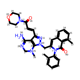 Cc1ccccc1-n1c(Cn2nc(/C=C/C(=O)N3CCOCC3)c3c2N(C)CN=C3N)cc2cccc(C)c2c1=O